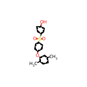 Cc1ccc(C)c(Oc2ccc(S(=O)(=O)c3ccc(O)cc3)cc2)c1